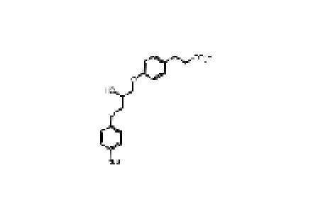 CC(C)(C)c1ccc(OCC(O)COc2ccc(CCC(=O)O)cc2)cc1